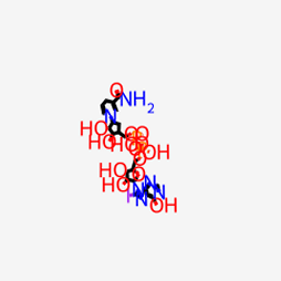 NC(=O)C1=CN(C2CC(COP(=O)(O)OP(=O)(O)OCC3OC(n4c(I)nc5c(O)ncnc54)C(O)C3O)C(O)C2O)C=CC1